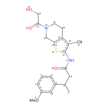 COc1cccc(C(C)CC(=O)Nc2sc3c(c2C#N)CCN(C(=O)CO)C3)c1